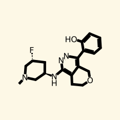 CN1C[C@H](F)C[C@@H](Nc2nnc(-c3ccccc3O)c3c2CCOC3)C1